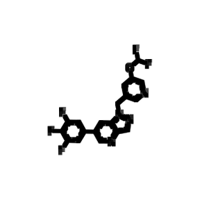 Fc1cc(-c2cnc3cnn(Cc4cncc(OC(F)F)c4)c3c2)cc(F)c1F